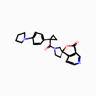 O=C1O[C@]2(CCN(C(=O)C3(c4ccc(N5CCCC5)cc4)CC3)C2)c2ccncc21